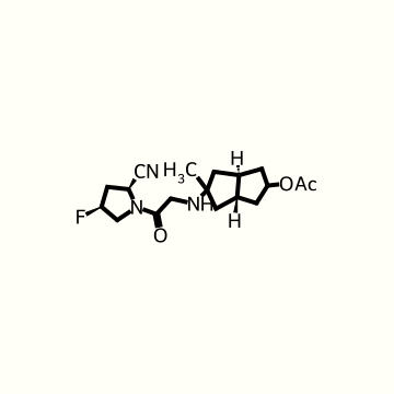 CC(=O)OC1C[C@@H]2CC(C)(NCC(=O)N3C[C@@H](F)C[C@H]3C#N)C[C@H]2C1